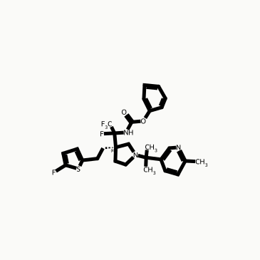 Cc1ccc(C(C)(C)N2CC[C@@](CCc3ccc(F)s3)(C(F)(NC(=O)Oc3ccccc3)C(F)(F)F)C2)cn1